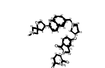 CN1CC2(C[C@H](c3ccc4cc(CN5CC[C@H](Oc6ccc7c(c6)CN([C@H]6CCC(=O)NC6=O)C7=O)C5)ccc4n3)CO2)C1